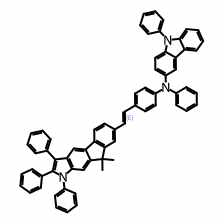 CC1(C)c2cc(/C=C/c3ccc(N(c4ccccc4)c4ccc5c(c4)c4ccccc4n5-c4ccccc4)cc3)ccc2-c2cc3c(-c4ccccc4)c(-c4ccccc4)n(-c4ccccc4)c3cc21